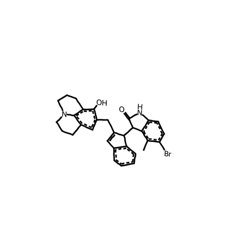 Cc1c(Br)ccc2c1C(C1C(Cc3cc4c5c(c3O)CCCN5CCC4)=Cc3ccccc31)C(=O)N2